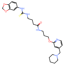 O=C(CCCNC(=S)Nc1ccc2c(c1)OCO2)NCCCOc1cc(CN2CCCCC2)ccn1